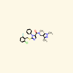 Cc1nn(C)cc1CN(C)C(=O)c1cnc(SCc2c(F)cccc2Cl)n1-c1ccccc1